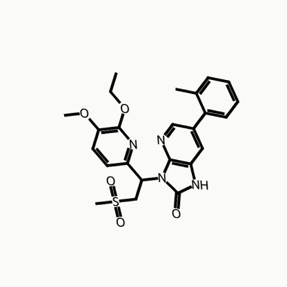 CCOc1nc(C(CS(C)(=O)=O)n2c(=O)[nH]c3cc(-c4ccccc4C)cnc32)ccc1OC